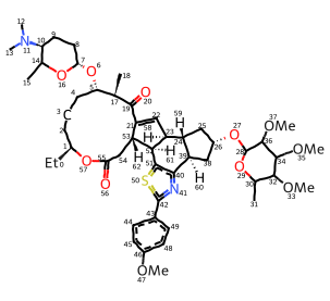 CC[C@H]1CCC[C@H](O[C@H]2CC[C@H](N(C)C)C(C)O2)[C@@H](C)C(=O)C2=C[C@H]3[C@@H]4C[C@H](OC5OC(C)C(OC)C(OC)C5OC)C[C@H]4c4nc(-c5ccc(OC)cc5)sc4[C@H]3[C@@H]2CC(=O)O1